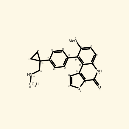 COc1ccc2[nH]c(=O)c3sccc3c2c1-c1ccc(C2(CNC(=O)O)CC2)cc1